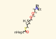 CCCCCCCC(=O)SCCC[SiH2]COCOCCN(CC)CC